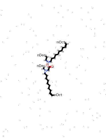 CCCCCCCC/C=C\CCCCCCCCN(CCCCCCCCCCC)CC(=O)ON(CCCCCCCC/C=C\CCCCCCCC)CCCCCCCCCCCC